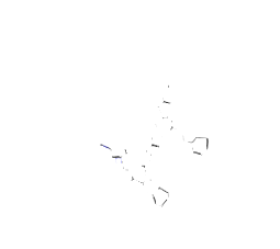 C=C/C(=C\C=C/C)COC(=O)[C@H](Cc1ccccc1)NC(=O)CNC(=O)COCC(CC(=O)OC(C)(C)C)NC(=O)OCc1ccccc1